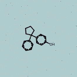 Oc1ccc(C2(c3ccccc3)CCCC2)cc1